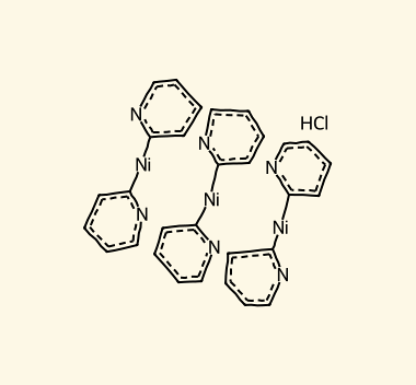 Cl.c1cc[c]([Ni][c]2ccccn2)nc1.c1cc[c]([Ni][c]2ccccn2)nc1.c1cc[c]([Ni][c]2ccccn2)nc1